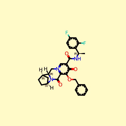 C[C@@H](NC(=O)c1cn2c(c(OCc3ccccc3)c1=O)C(=O)N1[C@H]3CC[C@H](C3)[C@@H]1C2)c1ccc(F)cc1F